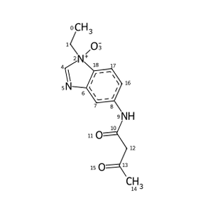 CC[N+]1([O-])C=Nc2cc(NC(=O)CC(C)=O)ccc21